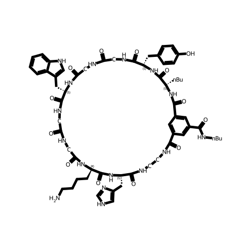 CCCCNC(=O)c1cc2cc(c1)C(=O)N[C@@H](CCCC)C(=O)N[C@@H](Cc1ccc(O)cc1)C(=O)NCC(=O)NCC(=O)N[C@@H](Cc1c[nH]c3ccccc13)C(=O)NCC(=O)NCC(=O)N[C@H](CCCCN)C(=O)N[C@@H](Cc1c[nH]cn1)C(=O)NCCNC2=O